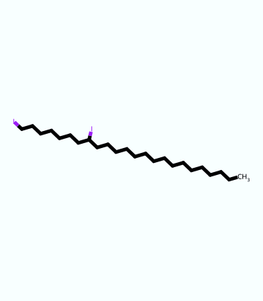 CCCCCCCCCCCCCCCCC(I)CCCCCCCI